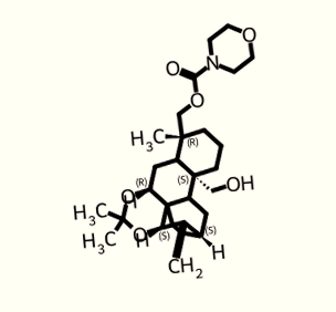 C=C1[C@H]2CCC34C(C2)[C@]2(CO)CCC[C@@](C)(COC(=O)N5CCOCC5)C2C[C@H]3OC(C)(C)O[C@@H]14